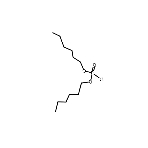 CCCCCCOP(=O)(Cl)OCCCCCC